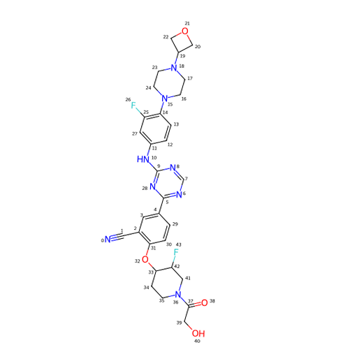 N#Cc1cc(-c2ncnc(Nc3ccc(N4CCN(C5COC5)CC4)c(F)c3)n2)ccc1OC1CCN(C(=O)CO)CC1F